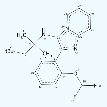 CC(C)(C)CC(C)(C)Nc1c(-c2ccccc2OC(F)F)nc2ccccn12